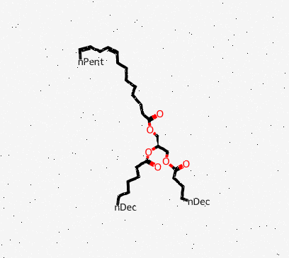 CCCCC/C=C\C/C=C\CCCCCCCC(=O)OC[C@@H](COC(=O)CCCCCCCCCCCCC)OC(=O)CCCCCCCCCCCCCCC